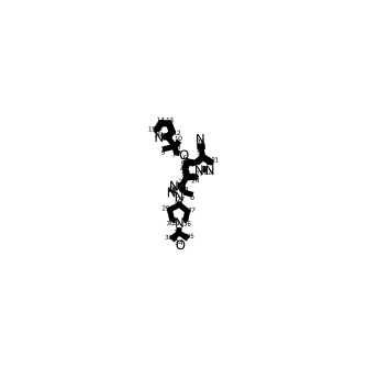 Cc1c(-c2cc(OCC(C)(C)c3ccccn3)c3c(C#N)cnn3c2)nnn1C1CCN(C2COC2)CC1